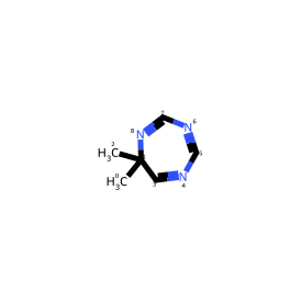 CC1(C)C=NC=NC=N1